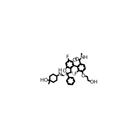 CNC(=O)c1ccc(OCCO)c(F)c1-c1c(Cl)c(F)cc2c1[C@H](C)[C@@](CNC1CCC(C)(O)CC1)(c1ccccc1)O2